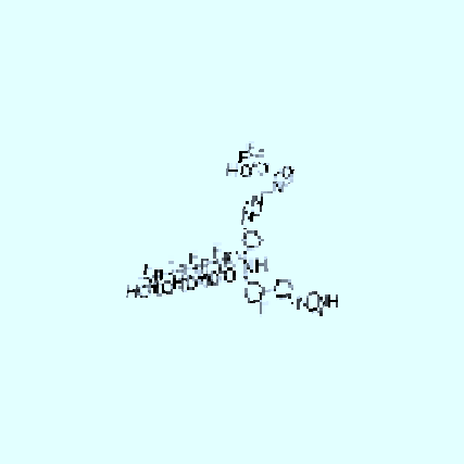 C[C@H]1CN(Cc2cccc(-c3cc(CNC(=O)c4cccc(CN5CCN(CCN6CCOCC6)CC5)c4)ccc3F)c2)CCN1.O=C(O)C(F)(F)F.O=C(O)C(F)(F)F.O=C(O)C(F)(F)F.O=C(O)C(F)(F)F.O=C(O)C(F)(F)F